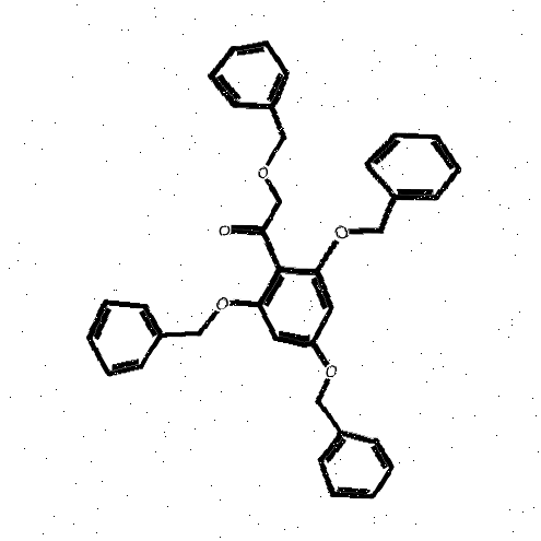 O=C(COCc1ccccc1)c1c(OCc2ccccc2)cc(OCc2ccccc2)cc1OCc1ccccc1